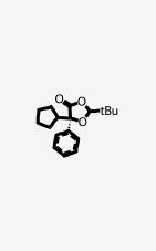 CC(C)(C)C1OC(=O)[C@](c2ccccc2)(C2CCCC2)O1